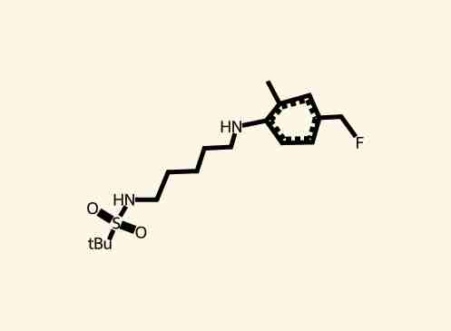 Cc1cc(CF)ccc1NCCCCCNS(=O)(=O)C(C)(C)C